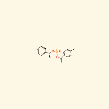 C=C(O[PH](=O)OC(=C)c1ccc(C)cc1)c1ccc(C)cc1